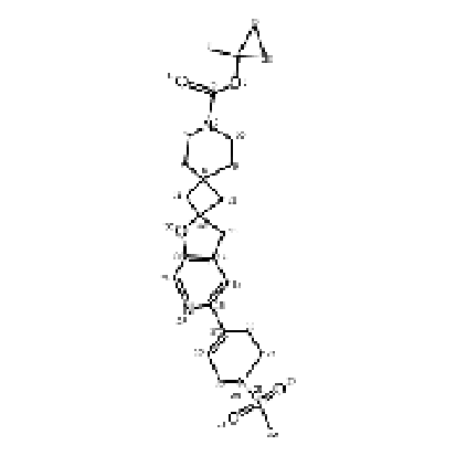 CC1(OC(=O)N2CCC3(CC2)CC2(Cc4cc(C5=CCN(S(C)(=O)=O)CC5)ncc4O2)C3)CC1